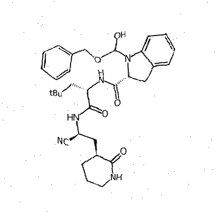 CC(C)(C)C[C@H](NC(=O)[C@H]1Cc2ccccc2N1C(O)OCc1ccccc1)C(=O)N[C@H](C#N)C[C@@H]1CCCNC1=O